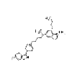 C=CCCc1cc(C(C)CCCCN2CCC(C3=NCc4cc(F)ccc43)CC2)cc2c1N(C)CC2